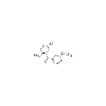 COc1cccc(C(=O)c2cc(Cl)ccc2[C]=O)c1